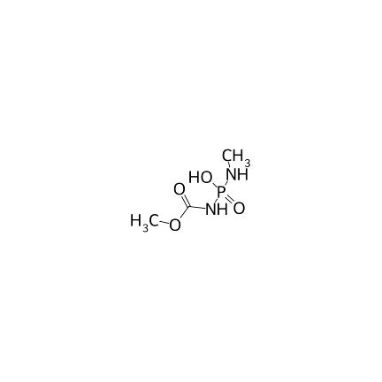 CNP(=O)(O)NC(=O)OC